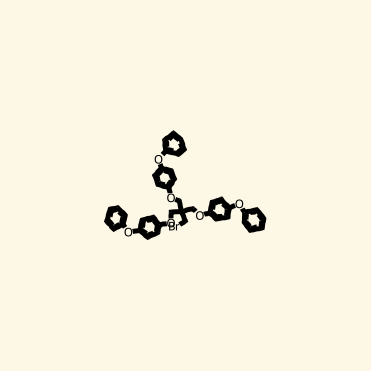 BrCC(COc1ccc(Oc2ccccc2)cc1)(COc1ccc(Oc2ccccc2)cc1)COc1ccc(Oc2ccccc2)cc1